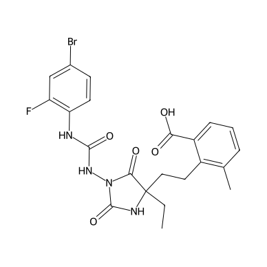 CCC1(CCc2c(C)cccc2C(=O)O)NC(=O)N(NC(=O)Nc2ccc(Br)cc2F)C1=O